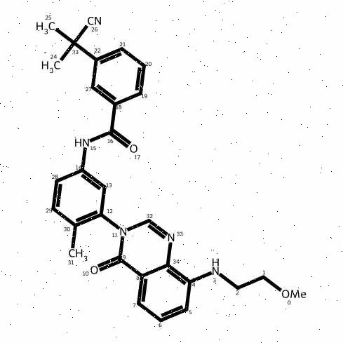 COCCNc1cccc2c(=O)n(-c3cc(NC(=O)c4cccc(C(C)(C)C#N)c4)ccc3C)cnc12